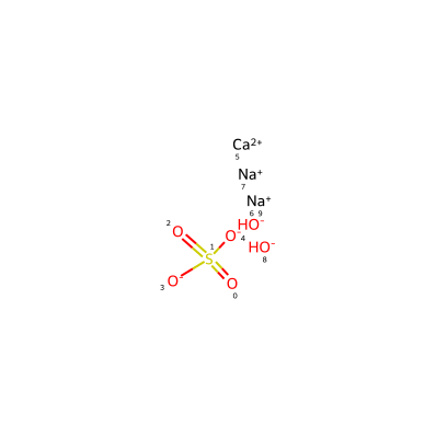 O=S(=O)([O-])[O-].[Ca+2].[Na+].[Na+].[OH-].[OH-]